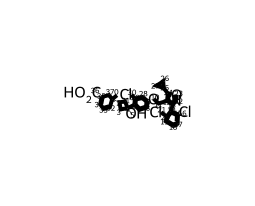 CC1([C@H]2C[C@](O)(c3ccc(OCc4c(-c5c(Cl)cccc5Cl)noc4C4CC4)cc3Cl)C2)C=CC=C(C(=O)O)C1